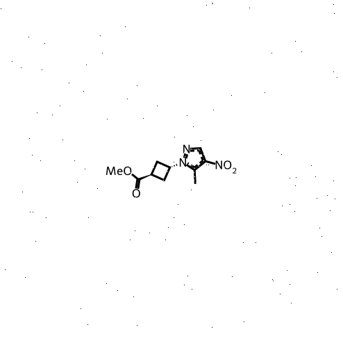 COC(=O)[C@H]1C[C@H](n2ncc([N+](=O)[O-])c2C)C1